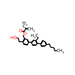 C=C(C)C(=O)OCc1cc(-c2ccc(-c3ccc(CCCCC)cc3)c(CC)c2)ccc1CCO